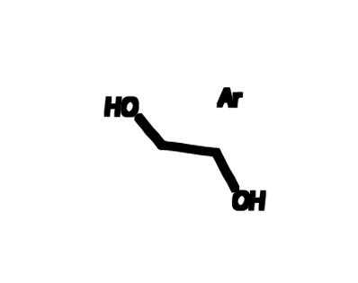 OCCO.[Ar]